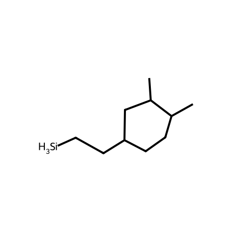 CC1CCC(CC[SiH3])CC1C